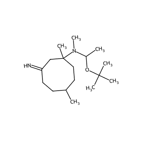 CC1CCC(=N)CC(C)(N(C)C(C)OC(C)(C)C)CC1